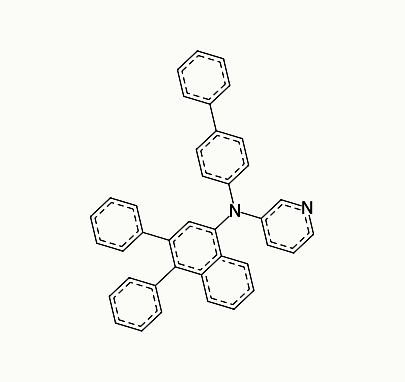 c1ccc(-c2ccc(N(c3cccnc3)c3cc(-c4ccccc4)c(-c4ccccc4)c4ccccc34)cc2)cc1